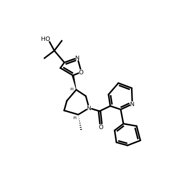 C[C@@H]1CC[C@@H](c2cc(C(C)(C)O)no2)CN1C(=O)c1cccnc1-c1ccccc1